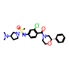 CN(C)[C@@H]1CCN(S(C)(=O)=Nc2ccc(C(=O)N3CCO[C@@H](c4ccccc4)C3)c(Cl)c2)C1